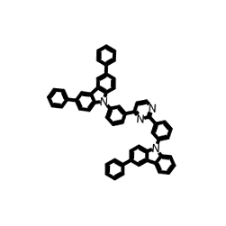 c1ccc(-c2ccc3c(c2)c2ccccc2n3-c2cccc(-c3nccc(-c4cccc(-n5c6ccc(-c7ccccc7)cc6c6cc(-c7ccccc7)ccc65)c4)n3)c2)cc1